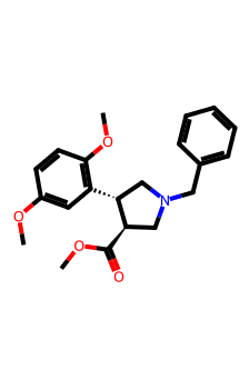 COC(=O)[C@@H]1CN(Cc2ccccc2)C[C@H]1c1cc(OC)ccc1OC